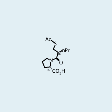 CCC[C@H](CSC(C)=O)C(=O)N1CCC[C@H]1C(=O)O